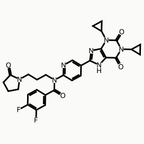 O=C1CCCN1CCCN(C(=O)c1ccc(F)c(F)c1)c1ccc(-c2nc3c([nH]2)c(=O)n(C2CC2)c(=O)n3C2CC2)cn1